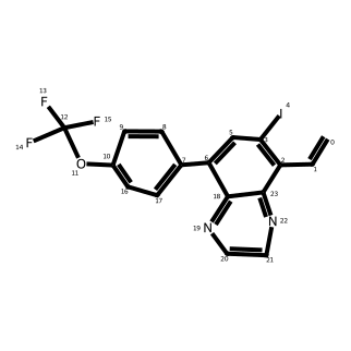 C=Cc1c(I)cc(-c2ccc(OC(F)(F)F)cc2)c2nccnc12